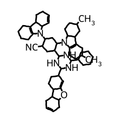 CC1CCC2=C(C1)C1CC(C)CCC1N2C1CC(N2C3=C(CCCC3)C3CCC=CC32)C(C#N)CC1C1NC(C2C=C3OC4CC=CCC4C3CC2)NC(C2CCCCC2)N1